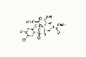 COC(=O)OC[C@@H](OS(=O)(=O)c1cc(Cl)c(Cl)cc1Cl)[C@@H](OC(=O)OC)[C@H](F)C=N